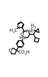 Cn1cccc1C(=O)NC(CNc1ccc(C2(C(=O)O)CCOC2)cc1)C(C1CCC1)C1(C)CC1